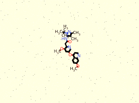 COc1ccc2c(Oc3cnc(CC(=O)Nc4c(C)c(C)nn4C(C)(C)C)c(OC)c3)ccnc2c1